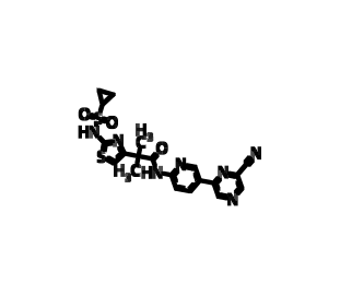 CC(C)(C(=O)Nc1ccc(-c2cncc(C#N)n2)cn1)c1csc(NS(=O)(=O)C2CC2)n1